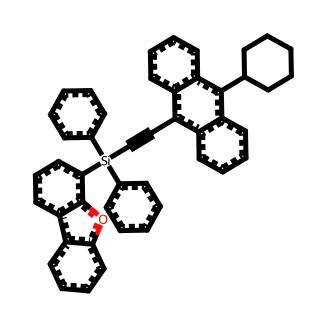 C(#C[Si](c1ccccc1)(c1ccccc1)c1cccc2c1oc1ccccc12)c1c2ccccc2c(C2CCCCC2)c2ccccc12